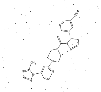 Cc1nnnn1-c1ccnc(N2CCN(C(=O)N3N=CC[C@H]3c3cncc(C#N)c3)CC2)n1